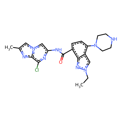 CCn1cc2c(N3CCNCC3)ccc(C(=O)Nc3cn4cc(C)nc4c(Cl)n3)c2n1